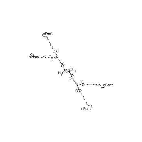 CCCCC/C=C\C/C=C\CCCCCCCCOC(=O)CCN(CCCCC(=O)OCCN1CC(C)N(CCOC(=O)CCCCN(CCC(=O)OCCCCCCCC/C=C\C/C=C\CCCCC)CCC(=O)OCCCCCCCC/C=C\C/C=C\CCCCC)CC1C)CCC(=O)OCCCCCCCC/C=C\C/C=C\CCCCC